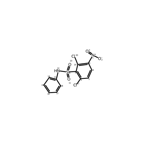 O=[N+]([O-])c1ccc(Cl)c(S(=O)(=O)Nc2ccccc2)c1Cl